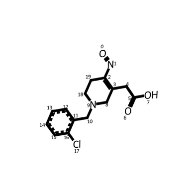 O=NC1=C(CC(=O)O)CN(Cc2ccccc2Cl)CC1